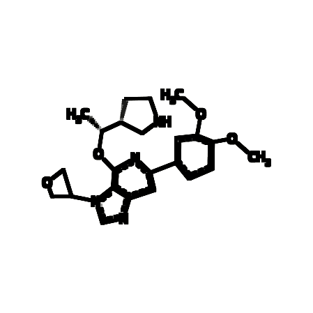 COc1ccc(-c2cc3ncn(C4COC4)c3c(O[C@H](C)[C@@H]3CCNC3)n2)cc1OC